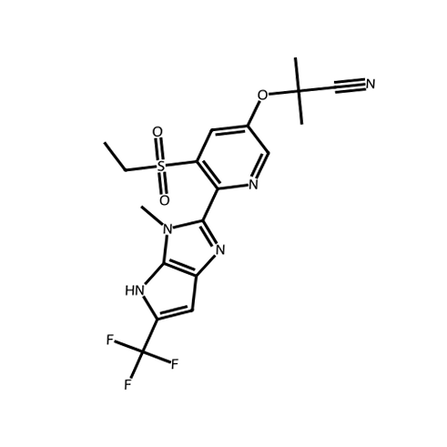 CCS(=O)(=O)c1cc(OC(C)(C)C#N)cnc1-c1nc2cc(C(F)(F)F)[nH]c2n1C